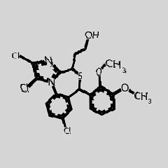 COc1cccc(C2SC(CCO)c3nc(Cl)c(Cl)n3-c3ccc(Cl)cc32)c1OC